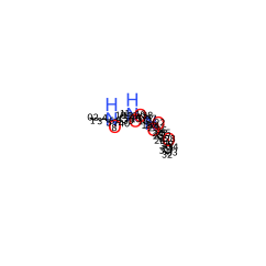 CCCCCCNC(=O)C1CCC(NC(=O)OC2CCN(C(=O)Oc3ccc(Oc4ccccc4)cc3)CC2)CC1